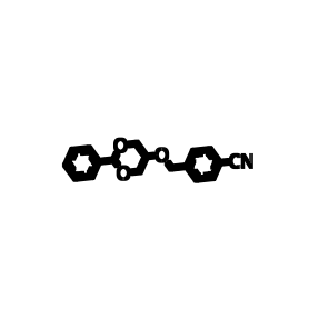 N#Cc1ccc(COC2COC(c3ccccc3)OC2)cc1